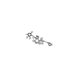 Cc1cc(F)c(COc2nsc(NC(=O)NCCCn3ccnc3)c2C(N)=O)c(F)c1F